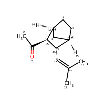 CC(=O)[C@H]1[C@H]2CC[C@H](C2)[C@@H]1C=C(C)C